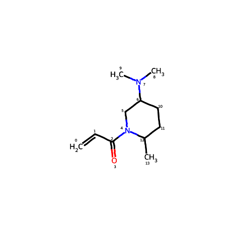 C=CC(=O)N1CC(N(C)C)CCC1C